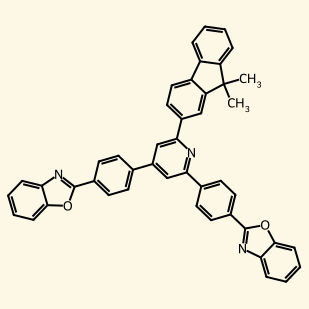 CC1(C)c2ccccc2-c2ccc(-c3cc(-c4ccc(-c5nc6ccccc6o5)cc4)cc(-c4ccc(-c5nc6ccccc6o5)cc4)n3)cc21